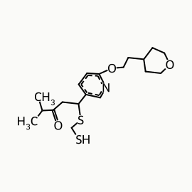 CC(C)C(=O)CC(SCS)c1ccc(OCCC2CCOCC2)nc1